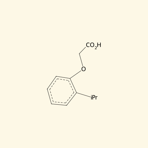 CC(C)c1ccccc1OCC(=O)O